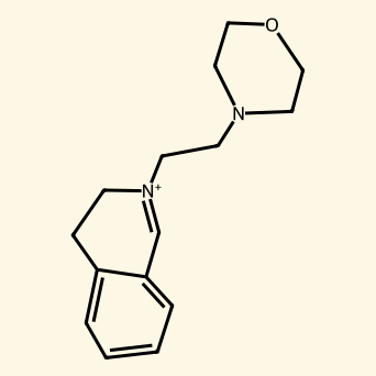 C1=[N+](CCN2CCOCC2)CCc2ccccc21